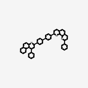 c1ccc(-c2ccc3ccc4ccc(-c5ccc(-c6ccc(-c7cc(-c8ccccc8)c8c(ccc9ccccc98)n7)cc6)cc5)nc4c3n2)cc1